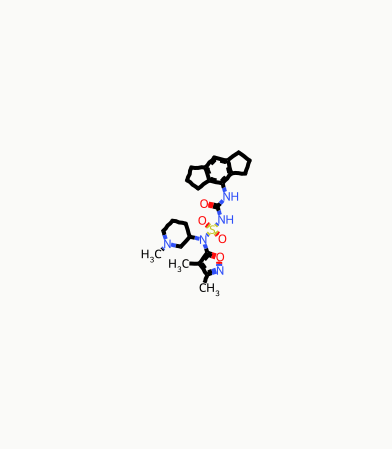 Cc1noc(N(C2CCCN(C)C2)S(=O)(=O)NC(=O)Nc2c3c(cc4c2CCC4)CCC3)c1C